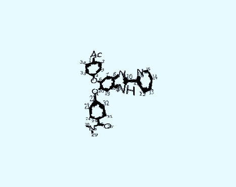 CC(=O)c1ccc(Oc2cc3nc(-c4ccccn4)[nH]c3cc2Oc2ccc(C(=O)N(C)C)cc2)cc1